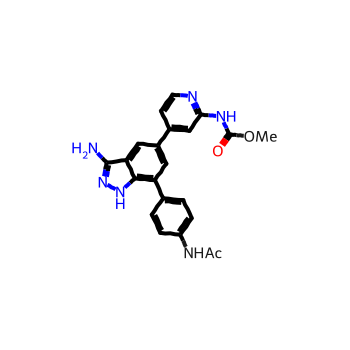 COC(=O)Nc1cc(-c2cc(-c3ccc(NC(C)=O)cc3)c3[nH]nc(N)c3c2)ccn1